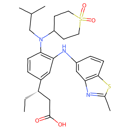 CC[C@@H](CC(=O)O)c1ccc(N(CC(C)C)C2CCS(=O)(=O)CC2)c(Nc2ccc3sc(C)nc3c2)c1